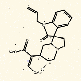 C=CCN1C(=O)[C@]2(CCN3C[C@H](CC)[C@@H](/C(=C\OC)C(=O)OC)CC32)c2ccccc21